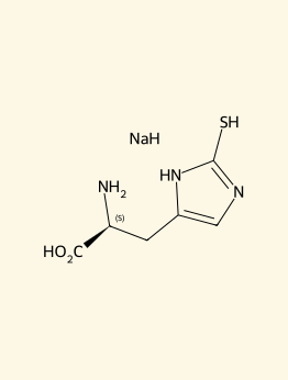 N[C@@H](Cc1cnc(S)[nH]1)C(=O)O.[NaH]